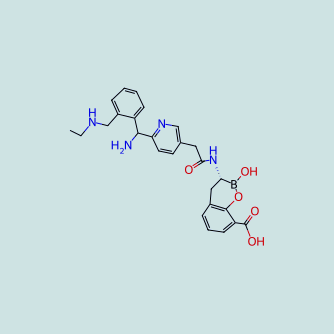 CCNCc1ccccc1C(N)c1ccc(CC(=O)N[C@H]2Cc3cccc(C(=O)O)c3OB2O)cn1